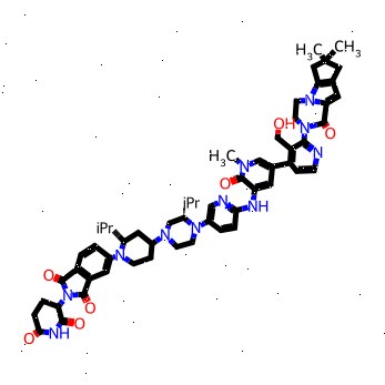 CC(C)C1CC(N2CCN(c3ccc(Nc4cc(-c5ccnc(N6CCn7c(cc8c7CC(C)(C)C8)C6=O)c5CO)cn(C)c4=O)nc3)[C@@H](C(C)C)C2)CCN1c1ccc2c(c1)C(=O)N(C1CCC(=O)NC1=O)C2=O